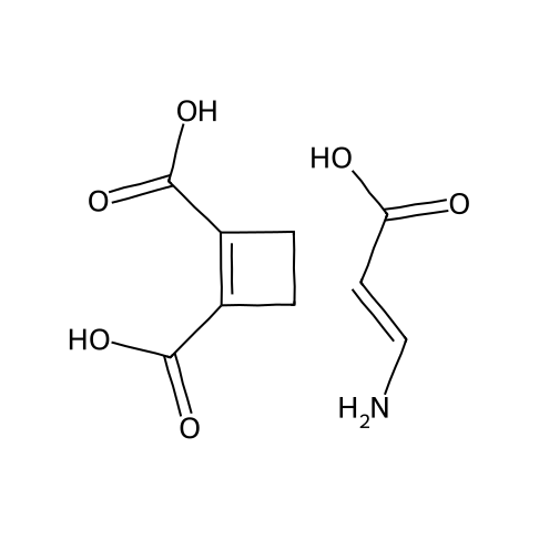 NC=CC(=O)O.O=C(O)C1=C(C(=O)O)CC1